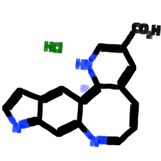 Cl.O=C(O)C1=CN/C2=c3\cc4c(cc3N=CC=CC2=C1)=NC=C4